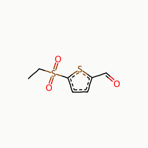 CCS(=O)(=O)c1ccc(C=O)s1